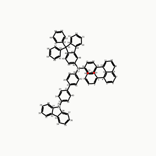 c1ccc(-c2cccc3cccc(-c4ccc(N(c5ccc(-c6ccc(-n7c8ccccc8c8ccccc87)cc6)cc5)c5ccc6c(c5)-c5ccccc5C6(c5ccccc5)c5ccccc5)cc4)c23)cc1